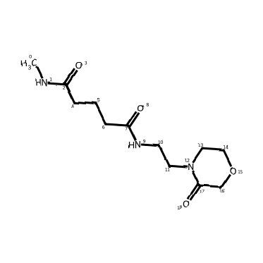 CNC(=O)CCCC(=O)NCCN1CCOCC1=O